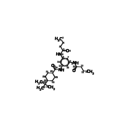 CCCC(=O)Nc1cc(NC(=O)CCC)cc(NC(=O)C2CCC(C(C)(C)C)CC2)c1